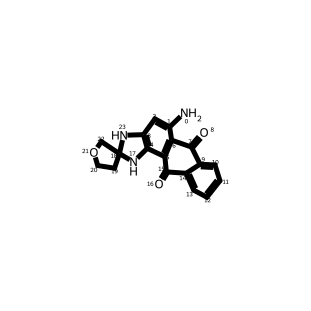 Nc1cc2c(c3c1C(=O)c1ccccc1C3=O)NC1(CCOC1)N2